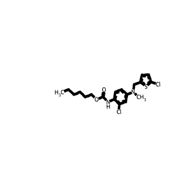 CCCCCCOC(=O)Nc1ccc(N(C)Cc2ccc(Cl)s2)cc1Cl